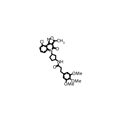 COc1cc(CCC(=O)NC2CCC(n3c(=O)c4c(C)onc4c4c(Cl)cccc43)C2)cc(OC)c1OC